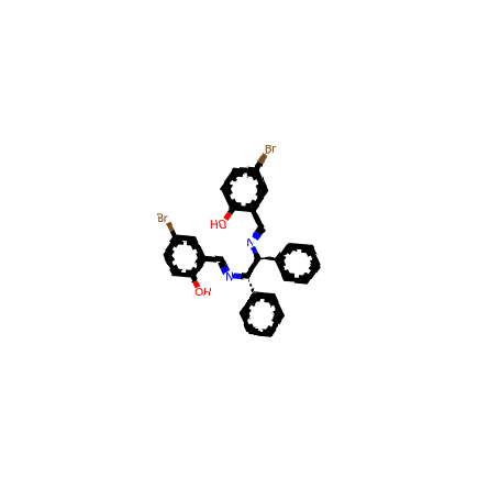 Oc1ccc(Br)cc1C=N[C@@H](c1ccccc1)[C@@H](N=Cc1cc(Br)ccc1O)c1ccccc1